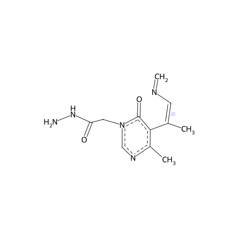 C=N/C=C(/C)c1c(C)ncn(CC(=O)NN)c1=O